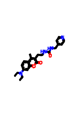 CCN(CC)c1ccc2c(C)c(CCNC(=O)NCc3ccncc3)c(=O)oc2c1